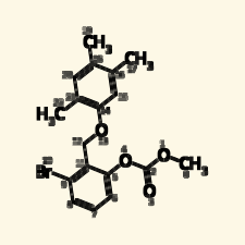 COC(=O)Oc1cccc(Br)c1COc1cc(C)c(C)cc1C